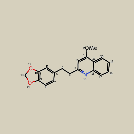 COc1cc(CCc2ccc3c(c2)OCO3)nc2ccccc12